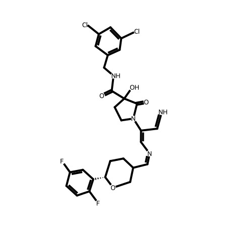 N=C/C(=C\N=C/C1CC[C@@H](c2cc(F)ccc2F)OC1)N1CCC(O)(C(=O)NCc2cc(Cl)cc(Cl)c2)C1=O